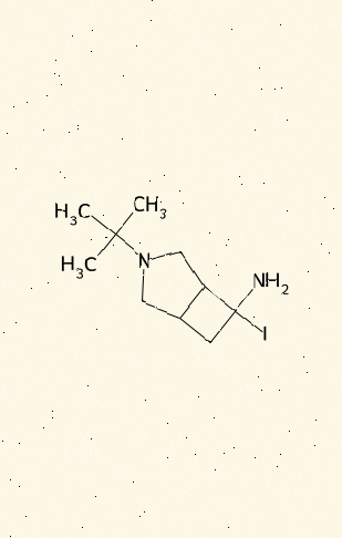 CC(C)(C)N1CC2CC(N)(I)C2C1